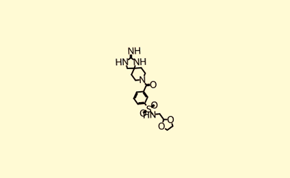 N=C1NCC2(CCN(C(=O)c3cccc(S(=O)(=O)NCC4OCCO4)c3)CC2)N1